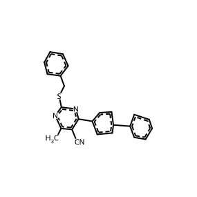 Cc1nc(SCc2ccccc2)nc(-c2ccc(-c3ccccc3)cc2)c1C#N